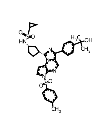 Cc1ccc(S(=O)(=O)n2ccc3c2ncc2c(-c4ccc(C(C)(C)O)cc4)nc([C@@H]4CC[C@H](NS(=O)(=O)C5CC5)C4)n23)cc1